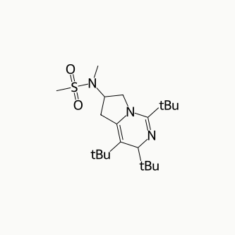 CN(C1CC2=C(C(C)(C)C)C(C(C)(C)C)N=C(C(C)(C)C)N2C1)S(C)(=O)=O